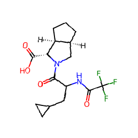 O=C(O)[C@@H]1[C@H]2CCC[C@H]2CN1C(=O)C(CC1CC1)NC(=O)C(F)(F)F